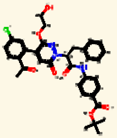 CC(=O)c1ccc(Cl)cc1-c1cc(=O)n([C@@H](Cc2ccccc2)C(=O)Nc2ccc(C(=O)OC(C)(C)C)cc2)nc1OCCO